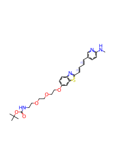 CNc1ccc(/C=C/C=C/c2nc3ccc(OCCOCCOCCNC(=O)OC(C)(C)C)cc3s2)cn1